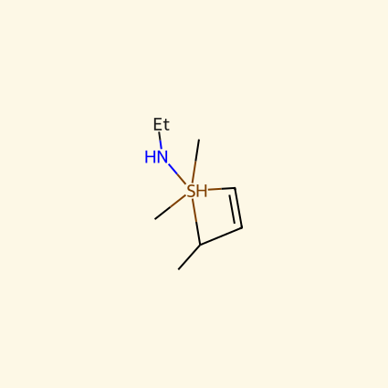 CCN[SH]1(C)(C)C=CC1C